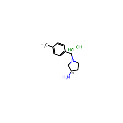 Cc1ccc(CN2CC[C@@H](N)C2)cc1.Cl.Cl